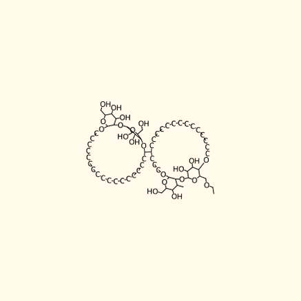 CCOCC1OC2OC3C(OCCCC(C4CCCCCCCCCCCCCCCCCOC5OC(CO)C(O)C(O)C5OC5OC(CO)C(O4)C(O)C5O)CCCCCCCCCCCCCCOC1C(O)C2O)OC(CO)C(O)C3C